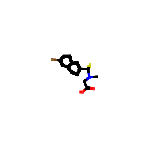 CN(CC(=O)O)C(=S)c1ccc2cc(Br)ccc2c1